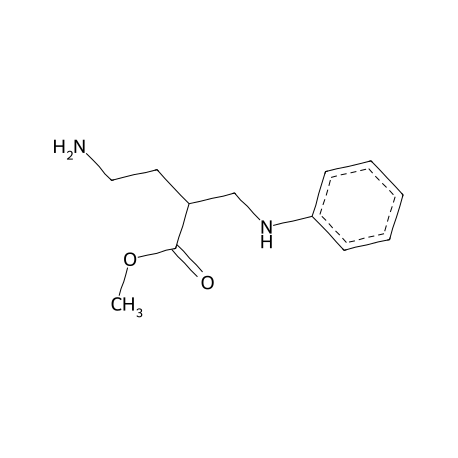 COC(=O)C(CCN)CNc1ccccc1